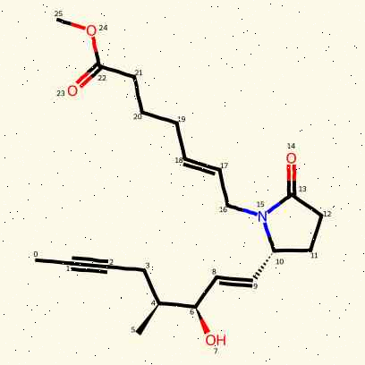 CC#CC[C@H](C)[C@H](O)C=C[C@H]1CCC(=O)N1CC=CCCCC(=O)OC